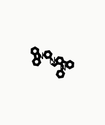 c1ccc(-n2c3ccccc3c3ccc4c(ccn4-c4cccc(-n5c6ccccc6c6ccccc65)c4)c32)cc1